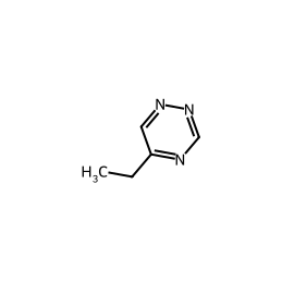 CCc1cnncn1